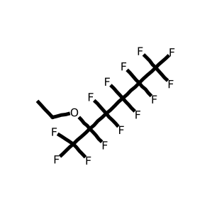 CCOC(F)(C(F)(F)F)C(F)(F)C(F)(F)C(F)(F)C(F)(F)F